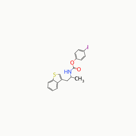 CC(Cc1csc2ccccc12)NC(=O)Oc1ccc(I)cc1